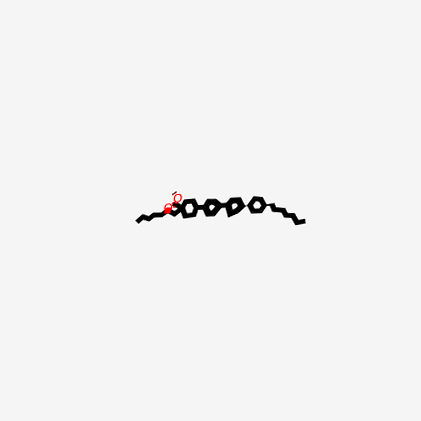 CCCCCCCC1(C(=O)OC)CCC(c2ccc(-c3ccc([C@H]4CC[C@H](CCCCCCC)CC4)cc3)cc2)CC1